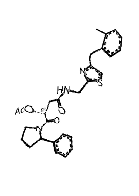 CC(=O)O[C@H](CC(=O)NCc1nc(Cc2ccccc2C)cs1)C(=O)N1CCCC1c1ccccc1